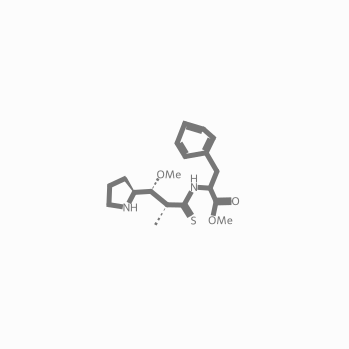 COC(=O)C(Cc1ccccc1)NC(=S)[C@H](C)[C@@H](OC)[C@@H]1CCCN1